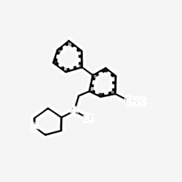 CCN(Cc1cc(C=O)ccc1-c1ccccc1)C1CCSCC1